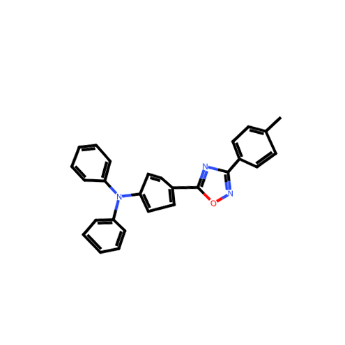 Cc1ccc(-c2noc(-c3ccc(N(c4ccccc4)c4ccccc4)cc3)n2)cc1